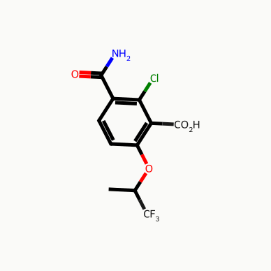 CC(Oc1ccc(C(N)=O)c(Cl)c1C(=O)O)C(F)(F)F